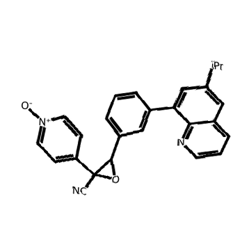 CC(C)c1cc(-c2cccc(C3OC3(C#N)c3cc[n+]([O-])cc3)c2)c2ncccc2c1